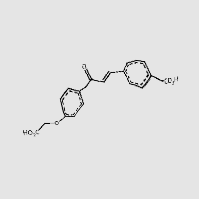 O=C(O)COc1ccc(C(=O)C=Cc2ccc(C(=O)O)cc2)cc1